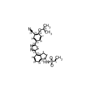 C=CS(=O)(=O)N[C@H]1CCc2c(-c3nnc(-c4ccc(OC(C)C)c(C#N)c4)s3)cccc21